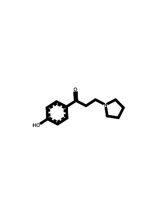 O=C(CCN1CCCC1)c1ccc(O)cc1